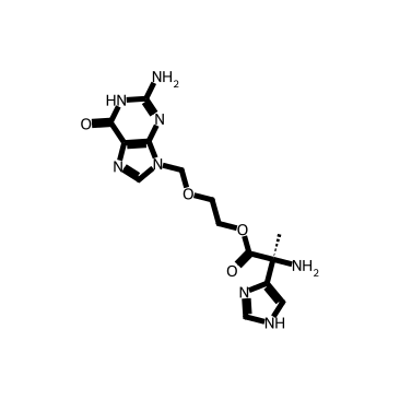 C[C@@](N)(C(=O)OCCOCn1cnc2c(=O)[nH]c(N)nc21)c1c[nH]cn1